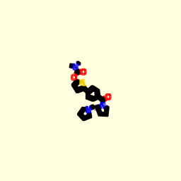 CN(C)C(=O)Oc1ccc(-c2ccc(C(=O)N3CCC[C@H]3CN3CCCC3)cc2)s1